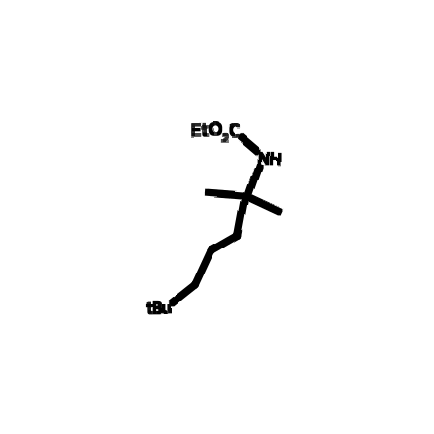 CCOC(=O)NC(C)(C)CCCC(C)(C)C